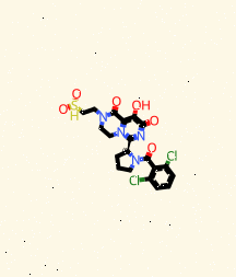 O=C1c2c(O)c(=O)nc([C@@H]3CCCN3C(=O)c3c(Cl)cccc3Cl)n2CCN1CC[SH](=O)=O